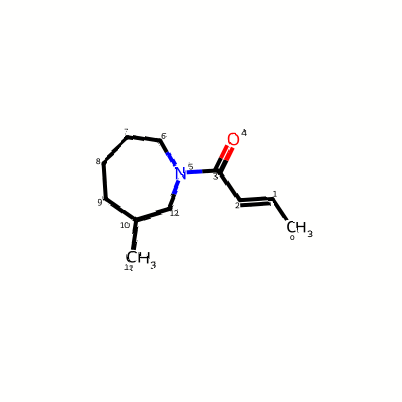 CC=CC(=O)N1CCCCC(C)C1